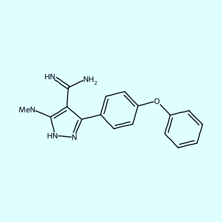 CNc1[nH]nc(-c2ccc(Oc3ccccc3)cc2)c1C(=N)N